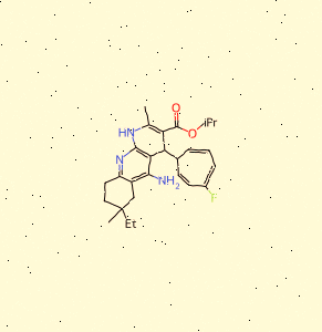 CCC1(C)CCc2nc3c(c(N)c2C1)C(C1C=CC=C(F)C=C1)C(C(=O)OC(C)C)=C(C)N3